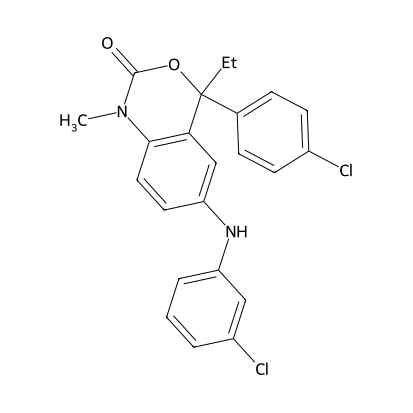 CCC1(c2ccc(Cl)cc2)OC(=O)N(C)c2ccc(Nc3cccc(Cl)c3)cc21